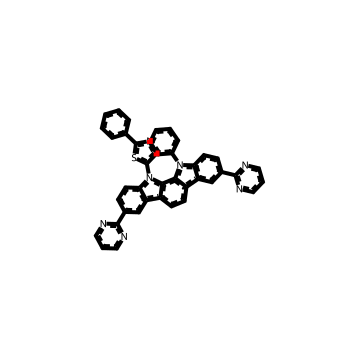 c1ccc(-c2ncc(-n3c4ccc(-c5ncccn5)cc4c4ccc5c6cc(-c7ncccn7)ccc6n(-c6ccccc6)c5c43)s2)cc1